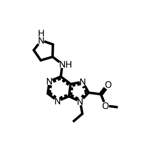 CCn1c(C(=O)OC)nc2c(NC3CCNC3)ncnc21